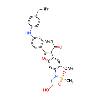 CNC(=O)c1c(-c2ccc(Nc3ccc(CC(C)C)cc3)cc2)oc2cc(N(CCO)S(C)(=O)=O)c(OC)cc12